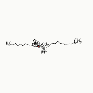 C=C.CCCCCCCCCCCCOCCCCCCCCCCCC.O=P([O-])([O-])[O-].[Na+].[Na+].[Na+]